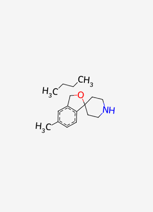 CCCC.Cc1ccc2c(c1)COC21CCNCC1